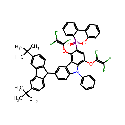 CC(C)(C)c1ccc2c(c1)-c1cc(C(C)(C)C)ccc1C2c1ccc2c(c1)c1c(OC(F)=C(F)F)c(P3(=O)Oc4ccccc4-c4ccccc43)cc(OC(F)=C(F)F)c1n2-c1ccccc1